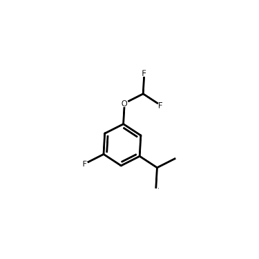 [CH2]C(C)c1cc(F)cc(OC(F)F)c1